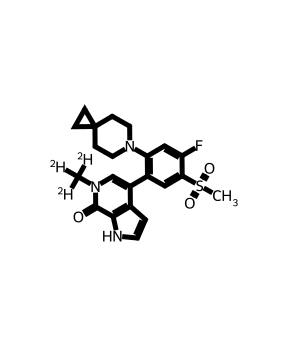 [2H]C([2H])([2H])n1cc(-c2cc(S(C)(=O)=O)c(F)cc2N2CCC3(CC2)CC3)c2cc[nH]c2c1=O